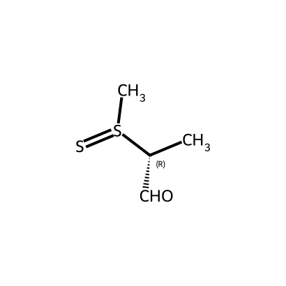 C[C@H](C=O)S(C)=S